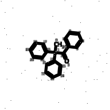 CS(C(=O)c1ccccc1)(c1ccccc1)c1ccccc1